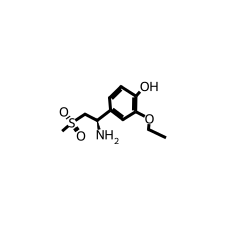 CCOc1cc([C@@H](N)CS(C)(=O)=O)ccc1O